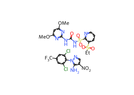 CCS(=O)(=O)c1cccnc1S(=O)(=O)NC(=O)Nc1nc(OC)cc(OC)n1.Nc1c([N+](=O)[O-])cnn1-c1c(Cl)cc(C(F)(F)F)cc1Cl